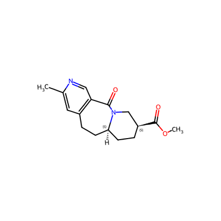 COC(=O)[C@H]1CC[C@H]2CCc3cc(C)ncc3C(=O)N2C1